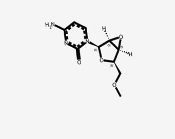 COC[C@H]1O[C@@H](n2ccc(N)nc2=O)[C@H]2O[C@H]21